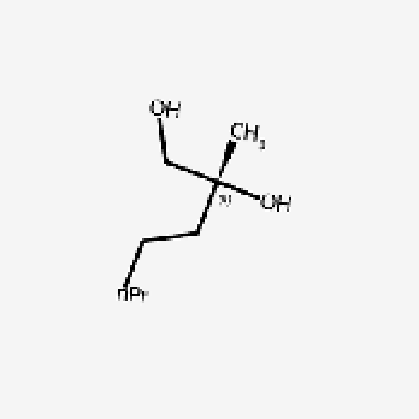 CCCCC[C@@](C)(O)CO